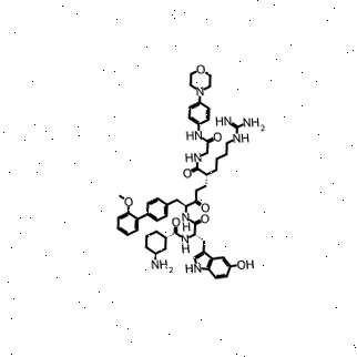 COc1ccccc1-c1ccc(C[C@H](NC(=O)[C@H](Cc2c[nH]c3ccc(O)cc23)NC(=O)[C@H]2CCC[C@H](N)C2)C(=O)CC[C@@H](CCCCNC(=N)N)C(=O)NCC(=O)Nc2ccc(N3CCOCC3)cc2)cc1